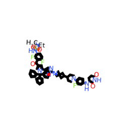 CCN(C)S(=O)(=O)Nc1ccc(F)c(C(=O)c2cc(-c3cnc(N4CC5(CC(C6CCN(c7ccc(NC8CCC(=O)NC8=O)cc7F)CC6)C5)C4)nc3)n(C(c3ccccc3)(c3ccccc3)c3ccccc3)c2)c1F